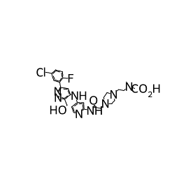 CN(CCN1CCN(CC(=O)Nc2cc(Nc3cc(-c4cc(Cl)ccc4F)nnc3CO)ccn2)CC1)C(=O)O